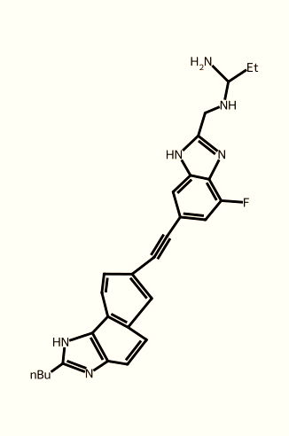 CCCCc1nc2ccc3cc(C#Cc4cc(F)c5nc(CNC(N)CC)[nH]c5c4)ccc3c2[nH]1